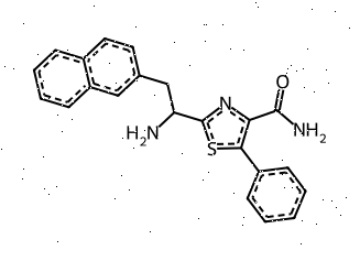 NC(=O)c1nc(C(N)Cc2ccc3ccccc3c2)sc1-c1ccccc1